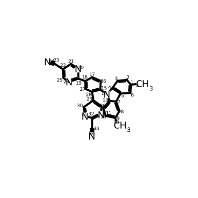 Cc1ccc2c(c1)c1cc(C)ccc1n2-c1ccc(-c2ncc(C#N)cn2)cc1-c1cnc(C#N)nc1